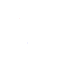 Cn1ccc(=O)c(O)c1C(N1CCOCC1)C(F)(F)F